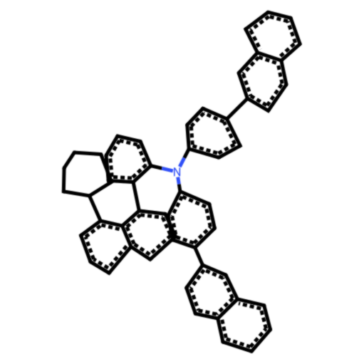 c1ccc(N(c2ccc(-c3ccc4ccccc4c3)cc2)c2ccc(-c3ccc4ccccc4c3)cc2)c(-c2cccc3cccc(C4CCCCC4)c23)c1